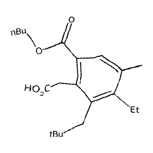 CCCCOC(=O)c1cc(C)c(CC)c(CC(C)(C)C)c1C(=O)O